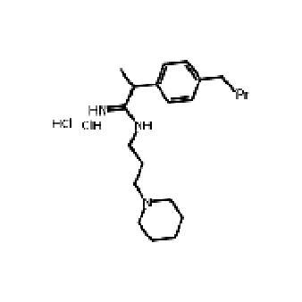 CC(C)Cc1ccc(C(C)C(=N)NCCCN2CCCCC2)cc1.Cl.Cl